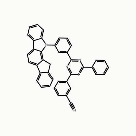 N#Cc1cccc(-c2nc(-c3ccccc3)nc(-c3cccc(-n4c5ccccc5c5ccc6c(c54)Cc4ccccc4-6)c3)n2)c1